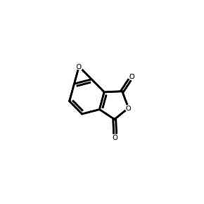 O=c1oc(=O)c2c1ccc1oc12